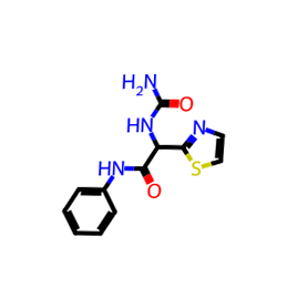 NC(=O)NC(C(=O)Nc1ccccc1)c1nccs1